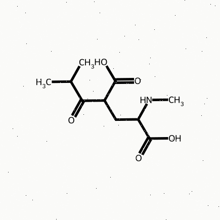 CNC(CC(C(=O)O)C(=O)C(C)C)C(=O)O